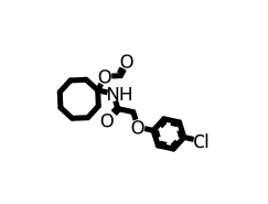 O=COC1(NC(=O)COc2ccc(Cl)cc2)CCCCCCC1